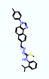 CS/C(=N\N=C\c1ccc2c(ccc3c2ncn3-c2ccc(C)cc2)c1)Nc1ccccc1C(C)C